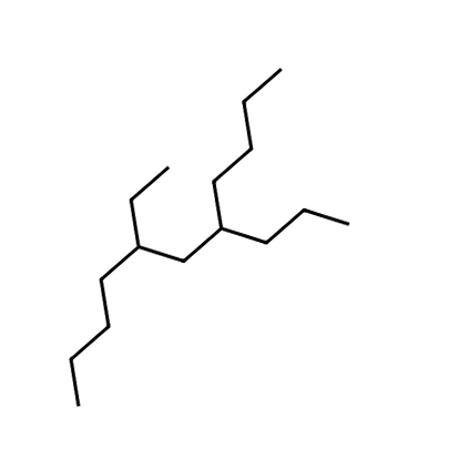 CCCCC(CC)CC(CCC)CCCC